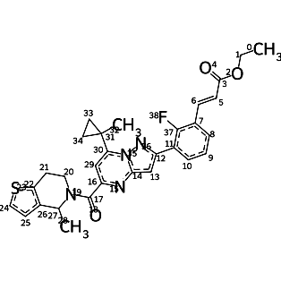 CCOC(=O)/C=C/c1cccc(-c2cc3nc(C(=O)N4CCc5sccc5C4C)cc(C4(C)CC4)n3n2)c1F